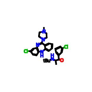 CC(NC(C)(C)C)C(=O)c1cccc(Cl)c1.CN1CCN(C2=Nc3cc(Cl)ccc3Nc3ccccc32)CC1